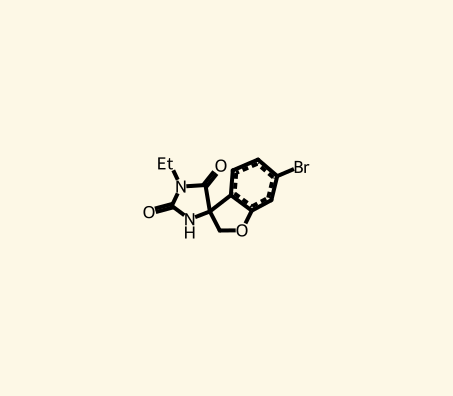 CCN1C(=O)NC2(COc3cc(Br)ccc32)C1=O